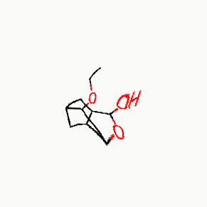 CCOC1C2CC3C(O)OC1C3C2